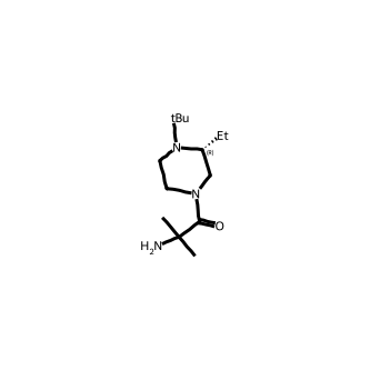 CC[C@@H]1CN(C(=O)C(C)(C)N)CCN1C(C)(C)C